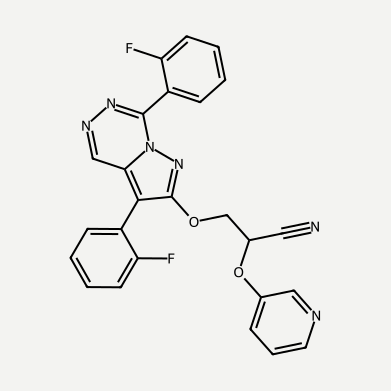 N#CC(COc1nn2c(-c3ccccc3F)nncc2c1-c1ccccc1F)Oc1cccnc1